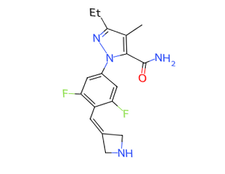 CCc1nn(-c2cc(F)c(C=C3CNC3)c(F)c2)c(C(N)=O)c1C